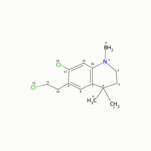 BN1CCC(C)(C)c2cc(CCCl)c(Cl)cc21